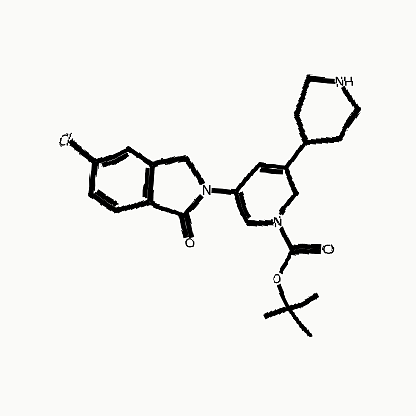 CC(C)(C)OC(=O)N1C=C(N2Cc3cc(Cl)ccc3C2=O)C=C(C2CCNCC2)C1